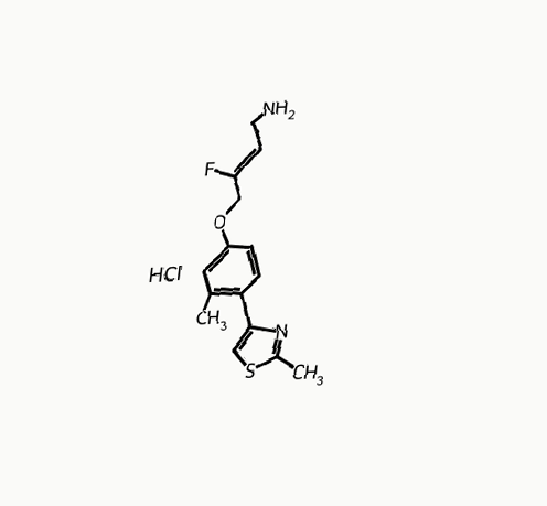 Cc1nc(-c2ccc(OC/C(F)=C/CN)cc2C)cs1.Cl